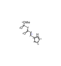 COC(=O)CC(=O)/C=C/c1ccc[nH]1